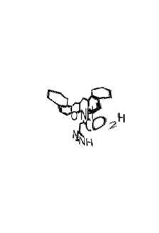 O=C(NC(Cc1c[nH]cn1)C(=O)O)C(Cc1cccc2c1CCCC2)Cc1cccc2c1CCCC2